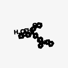 CC1(C)c2ccccc2-c2ccc(N(c3ccc(-c4ccc5c(c4)c4ccccc4n5-c4ccc5ccccc5c4)cc3)c3ccc4oc5ccccc5c4c3)cc21